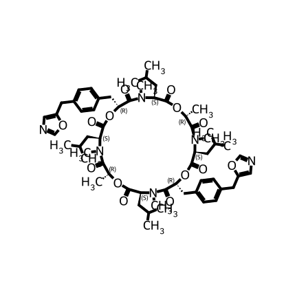 CC(C)C[C@H]1C(=O)O[C@H](Cc2ccc(Cc3cnco3)cc2)C(=O)N(C)[C@@H](CC(C)C)C(=O)O[C@H](C)C(=O)N(C)[C@@H](CC(C)C)C(=O)O[C@H](Cc2ccc(Cc3cnco3)cc2)C(=O)N(C)[C@@H](CC(C)C)C(=O)O[C@H](C)C(=O)N1C